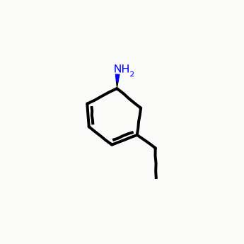 CCC1=CC=C[C@@H](N)C1